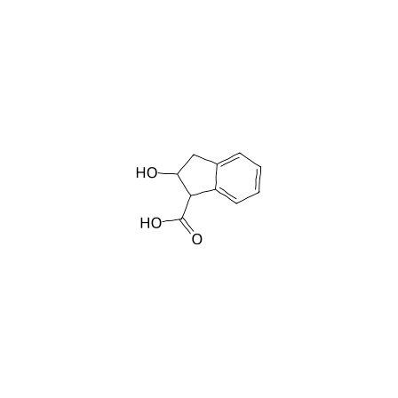 O=C(O)C1c2ccccc2CC1O